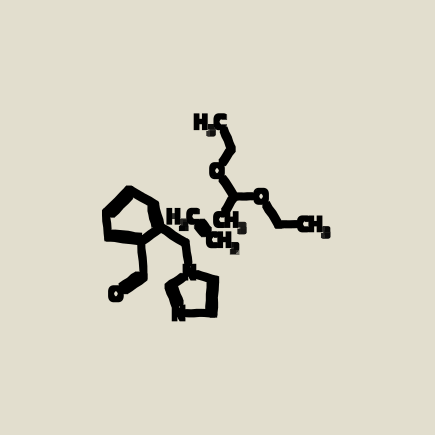 C=C.CCOC(C)OCC.O=Cc1ccccc1Cn1ccnc1